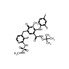 CNS(=O)(=O)Nc1nccc(Cc2cc(C(=O)NOC(C)(C)C)c(Nc3ccc(I)cc3F)n(C)c2=O)c1F